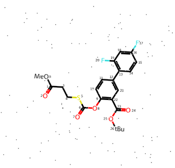 COC(=O)CCSC(=O)Oc1ccc(-c2ccc(F)cc2F)cc1C(=O)OC(C)(C)C